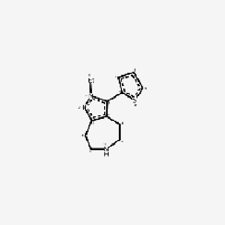 CCn1nc2c(c1-c1cccs1)CCNCC2